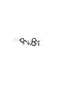 CCN1C(=O)c2cccc3c(S(=O)(=O)NCc4ccc(Br)cc4F)ccc1c23